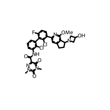 COc1nc(-c2ccc(F)c(-c3cccc(NC(=O)c4nn(C)c(=O)n(C)c4=O)c3Cl)c2Cl)cc2c1C(N1CC(O)C1)CC2